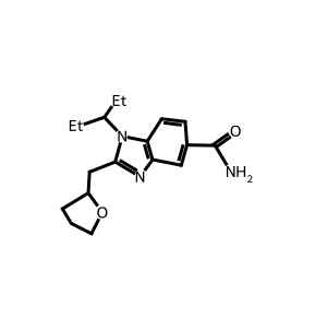 CCC(CC)n1c(CC2CCCO2)nc2cc(C(N)=O)ccc21